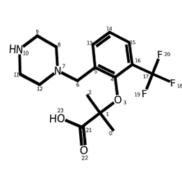 CC(C)(Oc1c(CN2CCNCC2)cccc1C(F)(F)F)C(=O)O